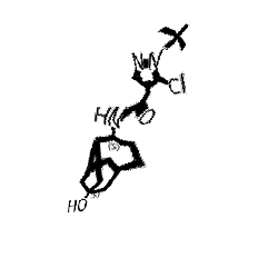 CC(C)(C)n1ncc(C(=O)N[C@H]2CCC3CC4C[C@@](O)(C3)CC42)c1Cl